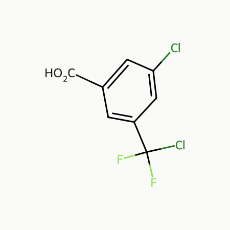 O=C(O)c1cc(Cl)cc(C(F)(F)Cl)c1